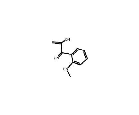 C=C(O)C(=N)c1ccccc1NC